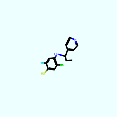 CCC(Nc1cc(F)c(S)cc1Cl)c1ccncc1